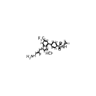 Cl.NCC=C(F)Cn1cnc2c(-c3ccc(S(=O)(=O)NC4CC4)cc3)cc(C(F)(F)F)cc21